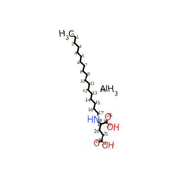 CCCCCCCCCCCCCCCCCCNC(CCC(=O)O)C(=O)O.[AlH3]